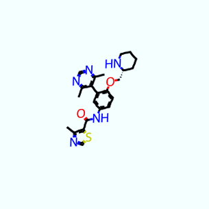 Cc1ncsc1C(=O)Nc1ccc(OC[C@H]2CCCCN2)c(-c2c(C)ncnc2C)c1